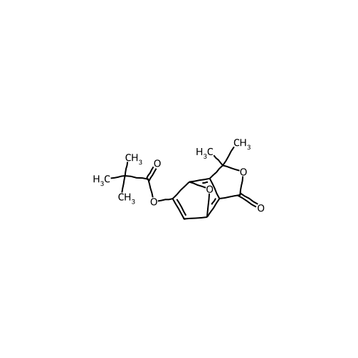 CC(C)(C)C(=O)Oc1cc2oc1c1c2C(=O)OC1(C)C